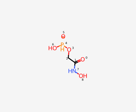 O=C(CO[PH](=O)O)NO